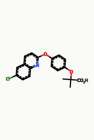 CC(C)(Oc1ccc(Oc2ccc3cc(Cl)ccc3n2)cc1)C(=O)O